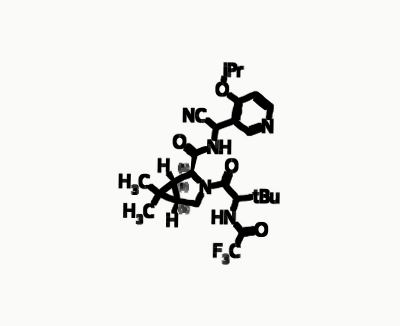 CC(C)Oc1ccncc1C(C#N)NC(=O)[C@@H]1[C@@H]2[C@H](CN1C(=O)C(NC(=O)C(F)(F)F)C(C)(C)C)C2(C)C